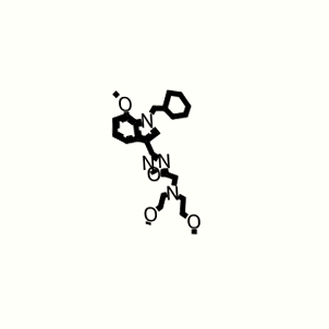 COCCN(CCOC)Cc1nc(-c2cn(CC3CCCCC3)c3c(OC)cccc23)no1